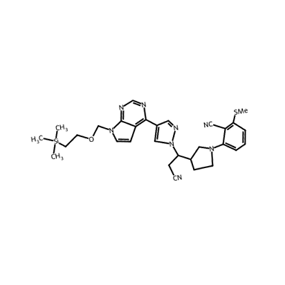 CSc1cccc(N2CCC(C(CC#N)n3cc(-c4ncnc5c4ccn5COCC[Si](C)(C)C)cn3)C2)c1C#N